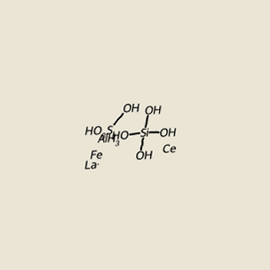 O=S(=O)(O)O.O[Si](O)(O)O.[AlH3].[Ce].[Fe].[La]